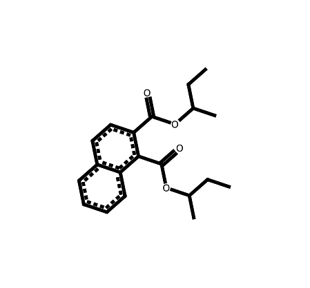 CCC(C)OC(=O)c1ccc2ccccc2c1C(=O)OC(C)CC